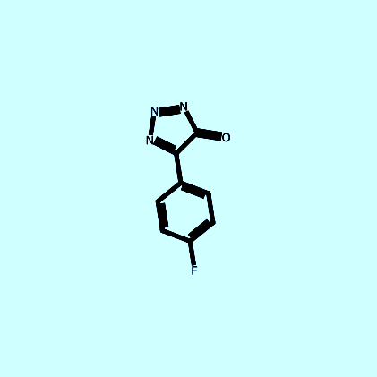 O=C1N=NN=C1c1ccc(F)cc1